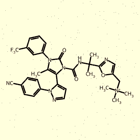 Cc1c(-c2ccnn2-c2ccc(C#N)cc2)n(C(=O)NC(C)(C)c2ncc(C[N+](C)(C)C)o2)c(=O)n1-c1cccc(C(F)(F)F)c1